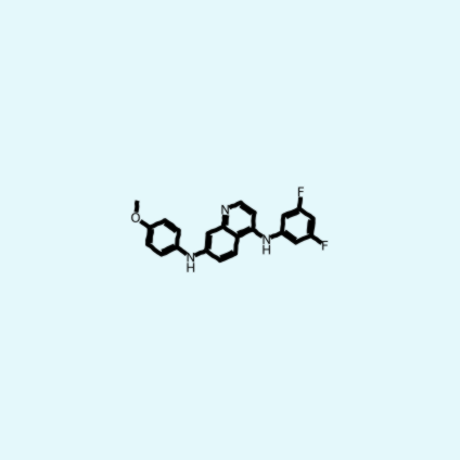 COc1ccc(Nc2ccc3c(Nc4cc(F)cc(F)c4)ccnc3c2)cc1